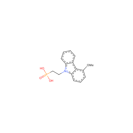 COc1cccc2c1c1ccccc1n2CCP(=O)(O)O